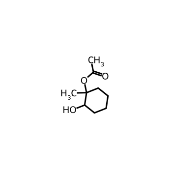 CC(=O)OC1(C)CCCCC1O